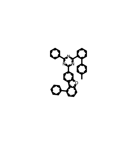 Cc1ccc(-c2ccccc2-c2nc(-c3ccccc3)nc(-c3ccc4c(c3)oc3cccc(-c5ccccc5)c34)n2)cc1